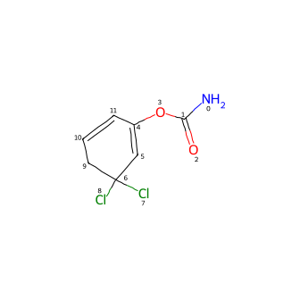 NC(=O)OC1=CC(Cl)(Cl)CC=C1